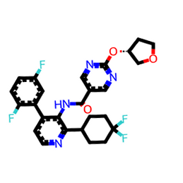 O=C(Nc1c(-c2cc(F)ccc2F)ccnc1C1CCC(F)(F)CC1)c1cnc(O[C@@H]2CCOC2)nc1